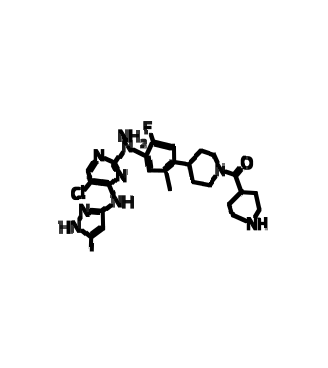 Cc1cc(Nc2nc(N(N)c3cc(C)c(C4CCN(C(=O)C5CCNCC5)CC4)cc3F)ncc2Cl)n[nH]1